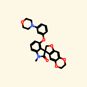 CN1C(=O)C2(COc3cc4c(cc32)OCCO4)c2c(Oc3cccc(N4CCOCC4)c3)cccc21